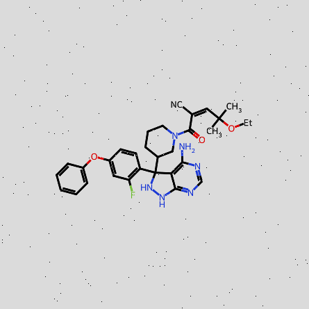 CCOC(C)(C)/C=C(/C#N)C(=O)N1CCCC(C2(c3ccc(Oc4ccccc4)cc3F)NNc3ncnc(N)c32)C1